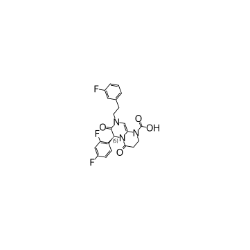 O=C1[C@H](c2ccc(F)cc2F)N2C(=O)CCN(C(=O)O)C2=CN1CCc1cccc(F)c1